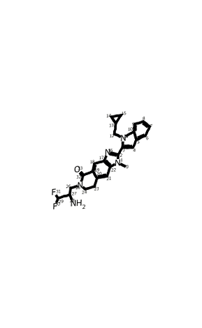 Cn1c(-c2cc3ccccc3n2CC2CC2)nc2cc3c(cc21)CCN(CC(N)C(F)F)C3=O